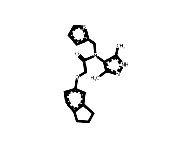 Cc1n[nH]c(C)c1N(Cc1cccs1)C(=O)COc1ccc2c(c1)CCC2